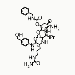 CC(C)[C@H](NC(=O)[C@H](CS(N)(=O)=O)OC(=O)NCc1ccccc1)C(=O)N[C@@H](CCCNC(N)=O)C(=O)Nc1ccc(CO)cc1